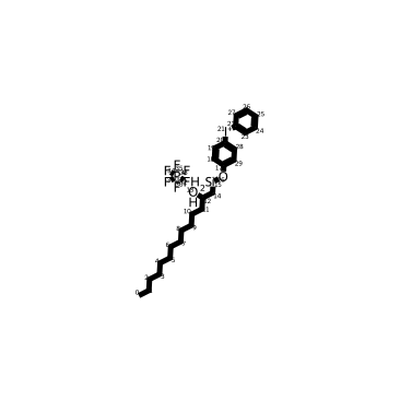 CCCCCCCCCCCCC(O)C[SiH2]Oc1ccc([I+]c2ccccc2)cc1.F[P-](F)(F)(F)(F)F